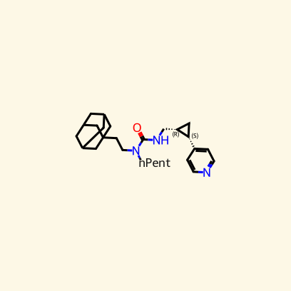 CCCCCN(CCC12CC3CC(CC(C3)C1)C2)C(=O)NC[C@@H]1C[C@@H]1c1ccncc1